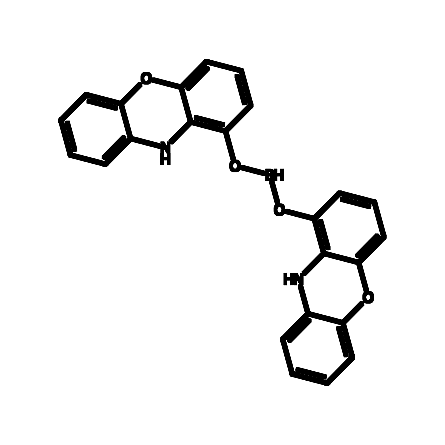 B(Oc1cccc2c1Nc1ccccc1O2)Oc1cccc2c1Nc1ccccc1O2